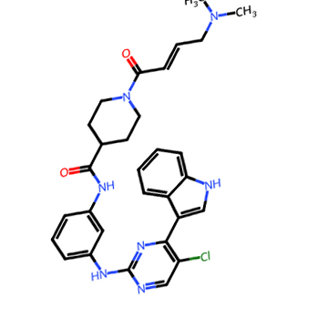 CN(C)C/C=C/C(=O)N1CCC(C(=O)Nc2cccc(Nc3ncc(Cl)c(-c4c[nH]c5ccccc45)n3)c2)CC1